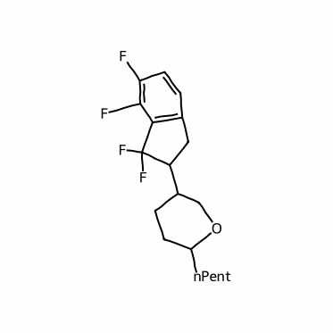 CCCCCC1CCC(C2Cc3ccc(F)c(F)c3C2(F)F)CO1